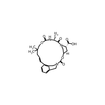 C[C@@H]1NC(=O)OCC(C)(C)C/C=C/c2cccc3c2CN(C3)C(=O)O[C@@H]2C[C@@H](C(=O)O)N(C2)C1=O